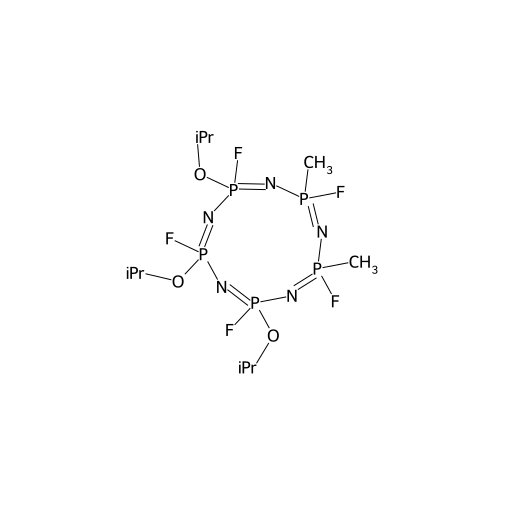 CC(C)OP1(F)=NP(C)(F)=NP(C)(F)=NP(F)(OC(C)C)=NP(F)(OC(C)C)=N1